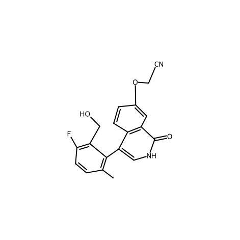 Cc1ccc(F)c(CO)c1-c1c[nH]c(=O)c2cc(OCC#N)ccc12